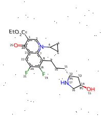 CCOC(=O)c1cn(C2CC2)c2c(CCC[C@@H]3C[C@@H](O)CN3)c(F)c(F)cc2c1=O